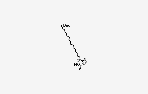 C=CC(O)N1CCN=C1C(=O)CCCCCCCCCCCCCCCCCCCCCCCCCC